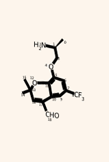 C[C@H](N)COc1cc(C(F)(F)F)cc2c1OC(C)(C)C=C2C=O